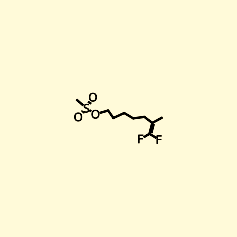 CC(CCCCCOS(C)(=O)=O)=C(F)F